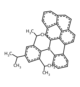 CC(C)c1cc(C(C)C)c(B2c3ccccc3-c3ccc4ccc5cccc6cc2c3c4c56)c(C(C)C)c1